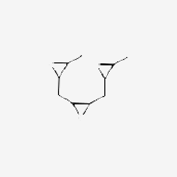 CC1OC1CC1OC1CC1OC1C